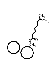 C1CCCCCCCCC1.C1CCCCCCCCC1.COC(=O)CCCCCC(C)C